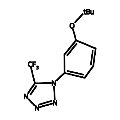 CC(C)(C)Oc1cccc(-n2nnnc2C(F)(F)F)c1